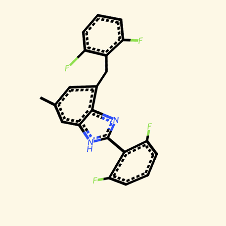 Cc1cc(Cc2c(F)cccc2F)c2nc(-c3c(F)cccc3F)[nH]c2c1